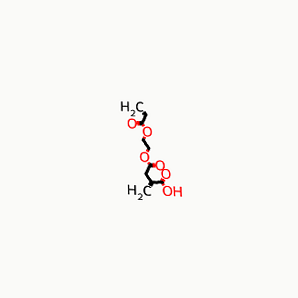 C=CC(=O)OCCOC(=O)CC(=C)C(=O)O